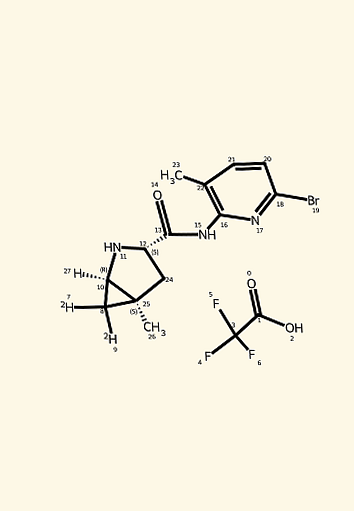 O=C(O)C(F)(F)F.[2H]C1([2H])[C@H]2N[C@H](C(=O)Nc3nc(Br)ccc3C)C[C@]21C